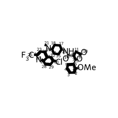 COc1ccccc1[C@@H]1OC(=O)C[C@H]1C(=O)N[C@H]1CC[C@@H](N(C)c2cc(C(F)(F)F)nc3ccc(Cl)cc23)CC1